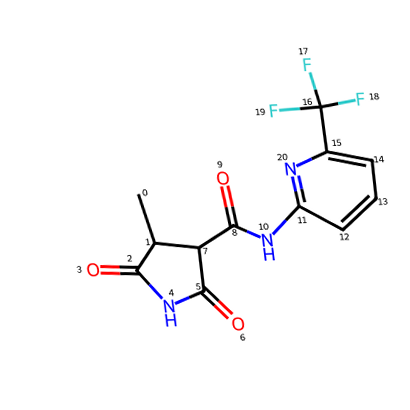 CC1C(=O)NC(=O)C1C(=O)Nc1cccc(C(F)(F)F)n1